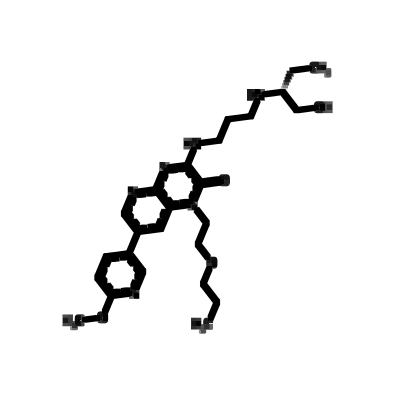 CCCOCCn1c(=O)c(NCCCN[C@H](CC)CO)nc2ncc(-c3ccc(OC)nc3)cc21